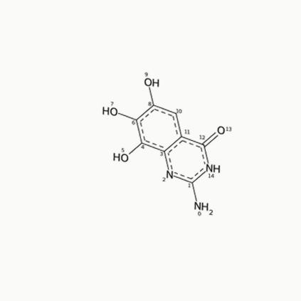 Nc1nc2c(O)c(O)c(O)cc2c(=O)[nH]1